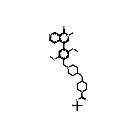 COc1cc(-c2cn(C)c(=O)c3cnccc23)c(OC)cc1CN1CCC(OC2CCN(C(=O)OC(C)(C)C)CC2)CC1